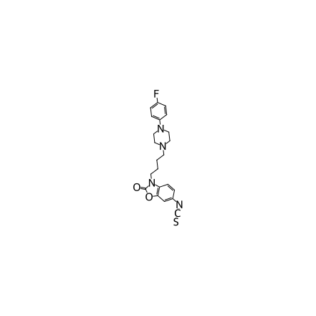 O=c1oc2cc(N=C=S)ccc2n1CCCCN1CCN(c2ccc(F)cc2)CC1